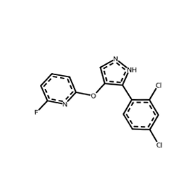 Fc1cccc(Oc2cn[nH]c2-c2ccc(Cl)cc2Cl)n1